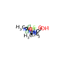 Cc1cc(Cl)c(C(=O)CN(CC(C)(C)C)C(=O)c2cnn(C3CCC(CC(=O)O)CC3)c2C(F)(F)F)c(Cl)n1